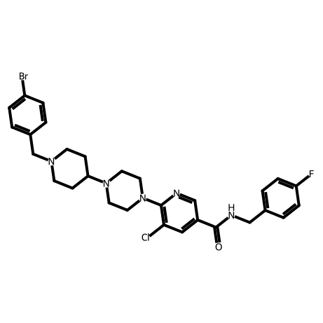 O=C(NCc1ccc(F)cc1)c1cnc(N2CCN(C3CCN(Cc4ccc(Br)cc4)CC3)CC2)c(Cl)c1